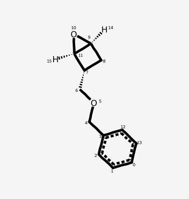 c1ccc(COC[C@H]2C[C@@H]3O[C@H]23)cc1